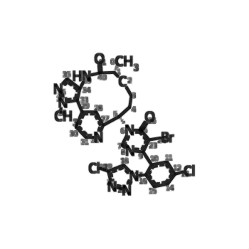 C[C@@H]1CCC[C@H](n2cnc(-c3cc(Cl)ccc3-n3cc(Cl)nn3)c(Br)c2=O)c2cc(ccn2)-c2c(cnn2C)NC1=O